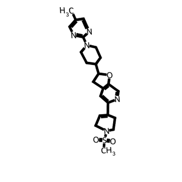 Cc1cnc(N2CCC(C3Cc4cc(C5=CCN(S(C)(=O)=O)CC5)ncc4O3)CC2)nc1